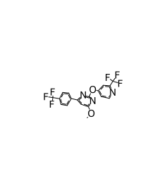 COc1cc(-c2ccc(C(F)(F)F)cc2)nc(Oc2ccnc(C(F)(F)F)c2)n1